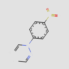 C=CN(/N=C\C)c1ccc([SH](=O)=O)cc1